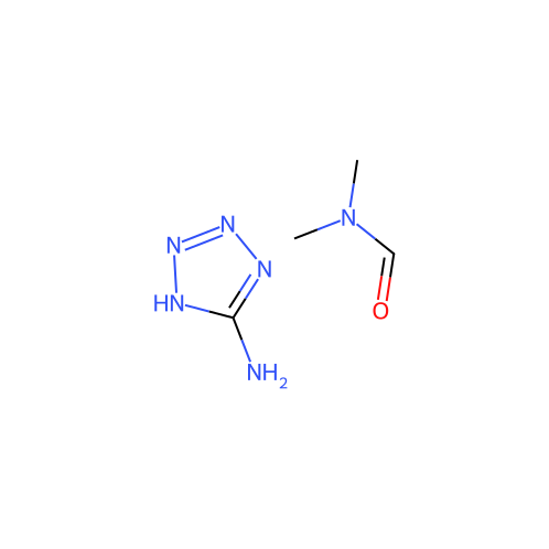 CN(C)C=O.Nc1nnn[nH]1